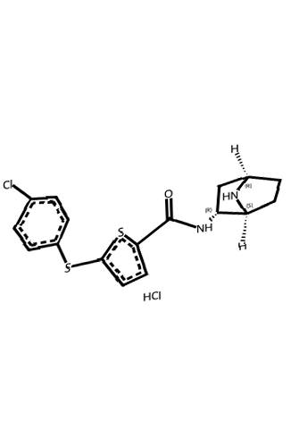 Cl.O=C(N[C@@H]1C[C@H]2CC[C@@H]1N2)c1ccc(Sc2ccc(Cl)cc2)s1